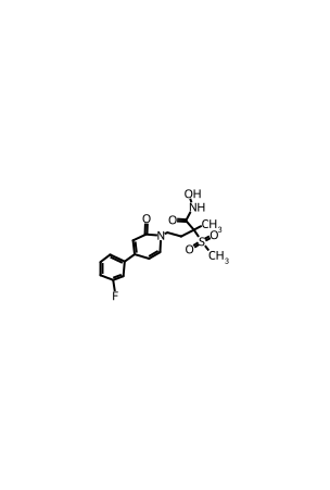 CC(CCn1ccc(-c2cccc(F)c2)cc1=O)(C(=O)NO)S(C)(=O)=O